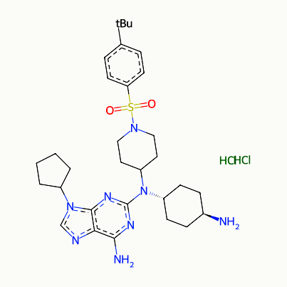 CC(C)(C)c1ccc(S(=O)(=O)N2CCC(N(c3nc(N)c4ncn(C5CCCC5)c4n3)[C@H]3CC[C@H](N)CC3)CC2)cc1.Cl.Cl